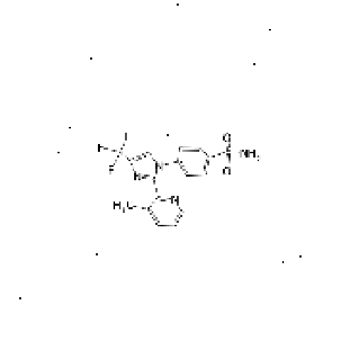 Cc1cccnc1-c1nc(C(F)(F)F)cn1-c1ccc(S(N)(=O)=O)cc1